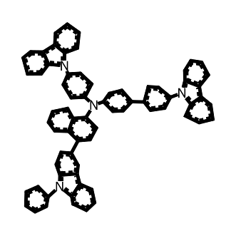 c1ccc(-n2c3ccccc3c3cc(-c4ccc(N(c5ccc(-c6ccc(-n7c8ccccc8c8ccccc87)cc6)cc5)c5ccc(-n6c7ccccc7c7ccccc76)cc5)c5ccccc45)ccc32)cc1